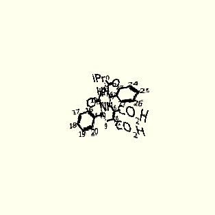 CC(C)C(=O)N[C@H](CC(C(=O)O)=C(C[C@@H](NC(=O)C(C)C)c1ccccc1)C(=O)O)c1ccccc1